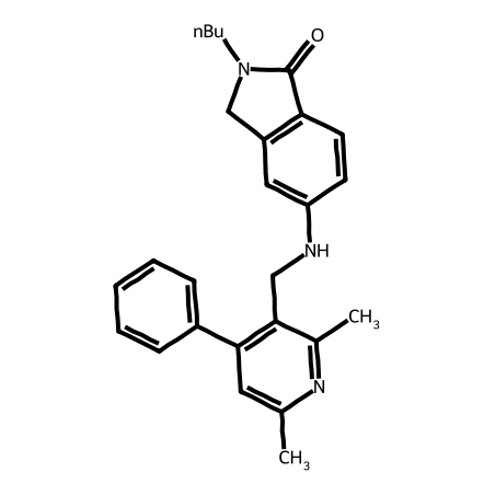 CCCCN1Cc2cc(NCc3c(-c4ccccc4)cc(C)nc3C)ccc2C1=O